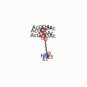 CCC(CC)NC(=O)CCCCCCCCCOC1OC(COC(C)=O)[C@H](OC2OC(COC(C)=O)C(OC(C)=O)C(OC(C)=O)C2OC(C)=O)C(OC(C)=O)C1OC(C)=O